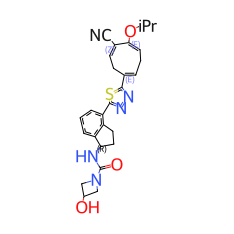 CC(C)OC1=C/C/C=C(/c2nnc(-c3cccc4c3CC[C@H]4NC(=O)N3CC(O)C3)s2)C/C=C\1C#N